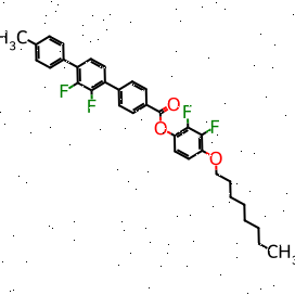 CCCCCCCCOc1ccc(OC(=O)c2ccc(-c3ccc(-c4ccc(C)cc4)c(F)c3F)cc2)c(F)c1F